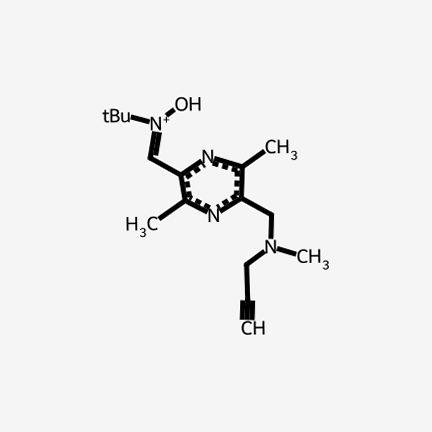 C#CCN(C)Cc1nc(C)c(/C=[N+](\O)C(C)(C)C)nc1C